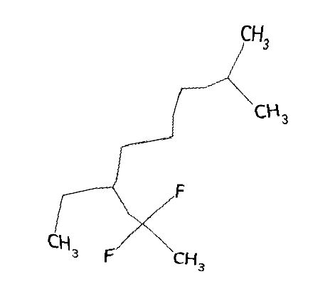 CCC(CCCC(C)C)C(C)(F)F